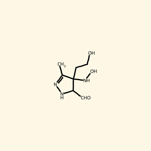 CC1=NNC(C=O)C1(CCO)NO